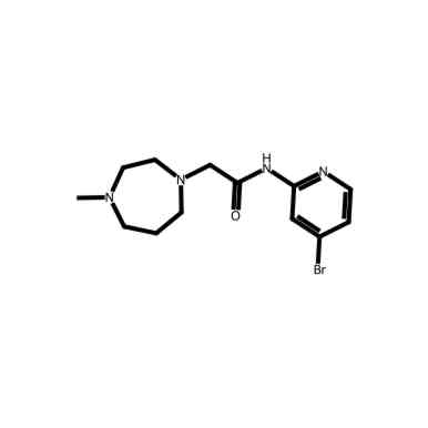 CN1CCCN(CC(=O)Nc2cc(Br)ccn2)CC1